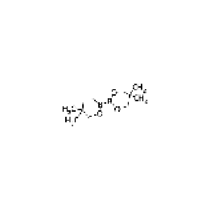 CC1(C)CCB(B2OCC(C)(C)CO2)OC1